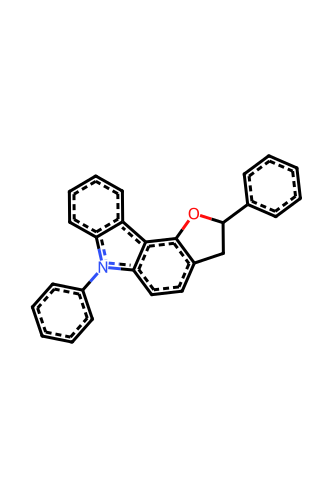 c1ccc(C2Cc3ccc4c(c3O2)c2ccccc2n4-c2ccccc2)cc1